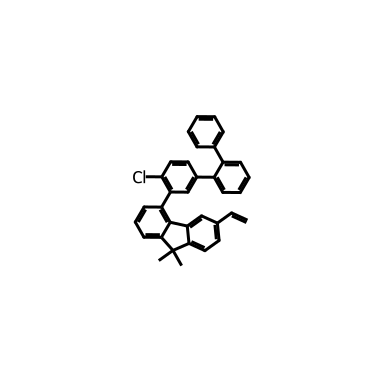 C=Cc1ccc2c(c1)-c1c(-c3cc(-c4ccccc4-c4ccccc4)ccc3Cl)cccc1C2(C)C